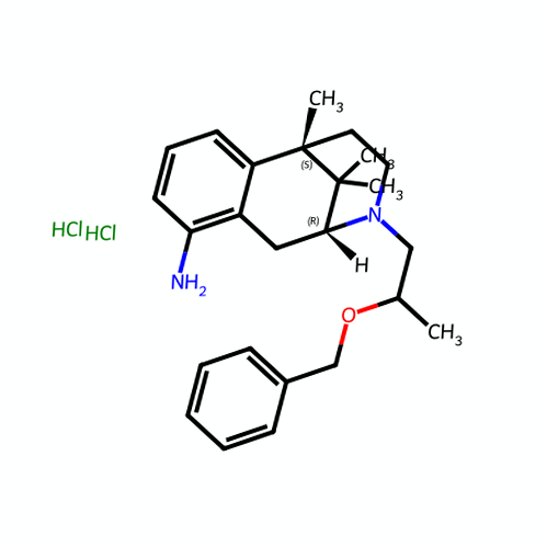 CC(CN1CC[C@@]2(C)c3cccc(N)c3C[C@@H]1C2(C)C)OCc1ccccc1.Cl.Cl